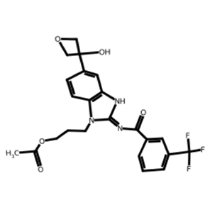 CC(=O)OCCCn1/c(=N/C(=O)c2cccc(C(F)(F)F)c2)[nH]c2cc(C3(O)COC3)ccc21